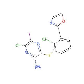 Nc1nc(Cl)c(I)nc1Sc1cccc(-c2ncco2)c1Cl